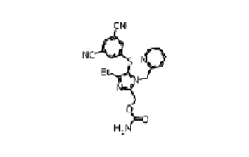 CCc1nc(COC(N)=O)n(Cc2ccccn2)c1Sc1cc(C#N)cc(C#N)c1